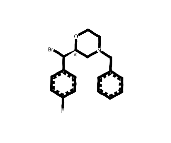 Fc1ccc(C(Br)[C@@H]2CN(Cc3ccccc3)CCO2)cc1